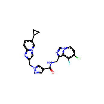 O=C(NCc1ncn2ccc(Cl)c(F)c12)c1cnn(Cc2cn3cc(C4CC4)ccc3n2)c1